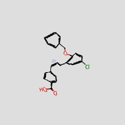 O=C(O)c1ccc(/C=C\Cc2cc(Cl)ccc2OCc2ccccc2)cc1